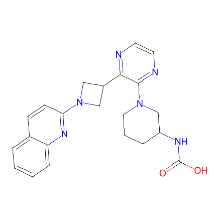 O=C(O)NC1CCCN(c2nccnc2C2CN(c3ccc4ccccc4n3)C2)C1